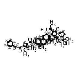 CC(C)C1=C2[C@H]3CC[C@@H]4[C@@]5(C)CC[C@H](OC(=O)[C@H]6C[C@@H](C(=O)OCc7ccccc7)C6(C)C)C(C)(C)[C@@H]5CC[C@@]4(C)[C@]3(C)CC[C@@]2(C(=O)N2CCC[C@H]2C(C)(C)O)CC1=O